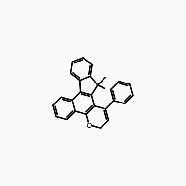 CC1(C)c2ccccc2-c2c1c1c(c3ccccc23)OCC=C1c1ccccc1